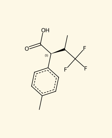 Cc1ccc([C@@H](C(=O)O)C(C)C(F)(F)F)cc1